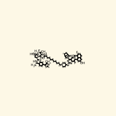 C#Cc1c(F)ccc2cc(O)cc(-c3ncc4c(N5CC6CCC(C5)N6)nc(OC5CCN(CCCCCCCCCCC(=O)N[C@H](C(=O)N6C[C@H](O)C[C@H]6C(=O)N[C@@H](C)c6ccc(-c7scnc7C)cc6)C(C)(C)C)CC5)nc4c3F)c12